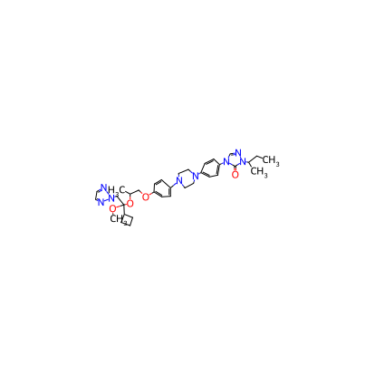 CCC(C)n1ncn(-c2ccc(N3CCN(c4ccc(OCC(C)OC(Cn5nccn5)(OC)C5CCC5)cc4)CC3)cc2)c1=O